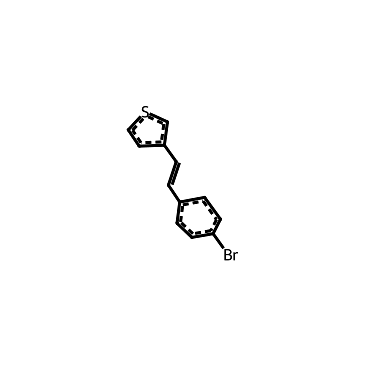 Brc1ccc(/C=C/c2ccsc2)cc1